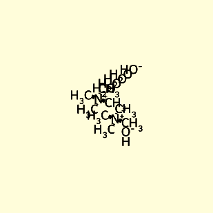 C[N+](C)(C)C.C[N+](C)(C)C.O.O.O.O.[OH-].[OH-]